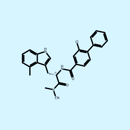 Cc1cccc2[nH]cc(C[C@H](NC(=O)c3ccc(-c4ccccc4)c(Cl)c3)C(=O)N(C)C#N)c12